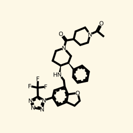 CC(=O)N1CCC(C(=O)N2CC[C@H](NCc3cc(-n4nnnc4C(F)(F)F)cc4c3OCC4)[C@H](c3ccccc3)C2)CC1